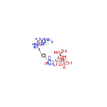 N=C(NCCCCc1ccc(CC[C@H](NCCCN(CC[C@@H](O)[C@H](O)[C@H](O)CO)C[C@H](O)C[C@H](O)[C@H](O)CO)C(N)=O)cc1)NC(=O)c1nc(Cl)c(N)nc1N